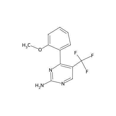 COc1ccccc1-c1nc(N)ncc1C(F)(F)F